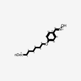 CCCCCCCCCCCCCCCCOc1ccc(C=NO)cc1